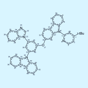 CC(C)(C)c1ccnc(-n2c3ccccc3c3ccc(Oc4cc(-n5cnc6ccccc65)cc(-n5c6ccccc6c6ccccc65)c4)cc32)c1